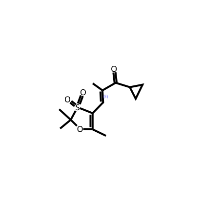 CC1=C(/C=C(\C)C(=O)C2CC2)S(=O)(=O)C(C)(C)O1